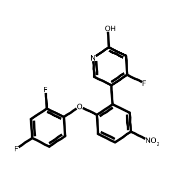 O=[N+]([O-])c1ccc(Oc2ccc(F)cc2F)c(-c2cnc(O)cc2F)c1